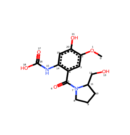 COc1cc(C(=O)N2CCCC2CO)c(NC(=O)O)cc1O